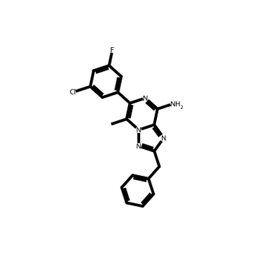 Cc1c(-c2cc(F)cc(Cl)c2)nc(N)c2nc(Cc3ccccc3)nn12